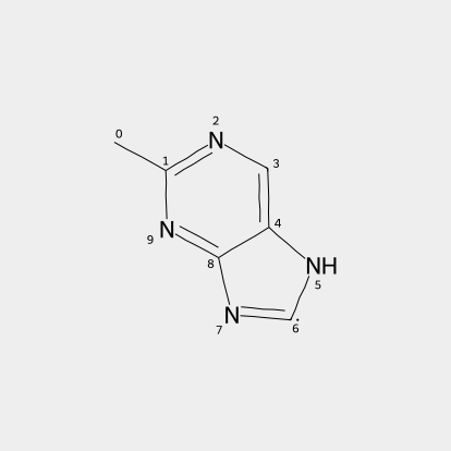 Cc1ncc2[nH][c]nc2n1